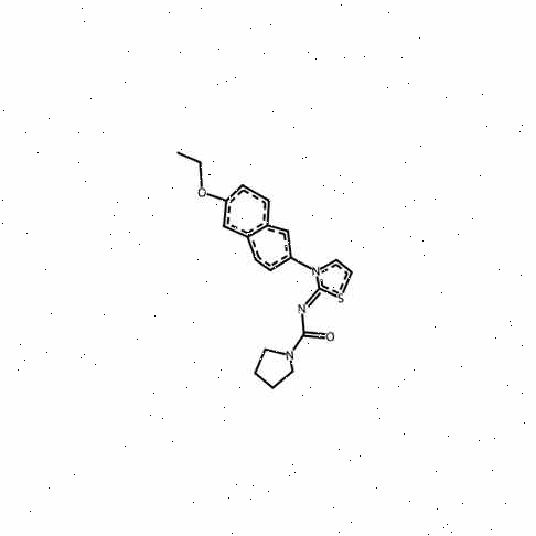 CCOc1ccc2cc(-n3ccsc3=NC(=O)N3CCCC3)ccc2c1